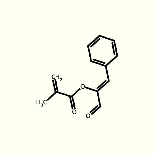 C=C(C)C(=O)OC(C=O)=Cc1ccccc1